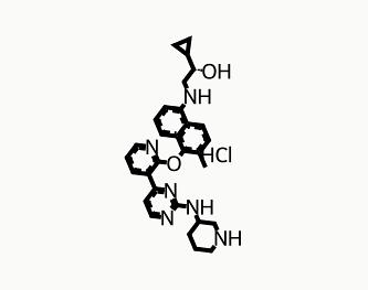 Cc1ccc2c(NC[C@@H](O)C3CC3)cccc2c1Oc1ncccc1-c1ccnc(NC2CCCNC2)n1.Cl